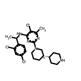 Cc1nc(N2CCC[C@@H](C3CCNCC3)C2)nc(NC(C)c2ccc(Cl)cc2Cl)c1Cl